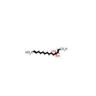 O=C(O)C=CCCCCCCCCC(O)(O)C=CC(=O)O